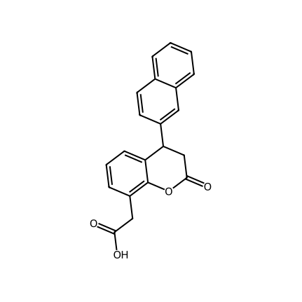 O=C(O)Cc1cccc2c1OC(=O)CC2c1ccc2ccccc2c1